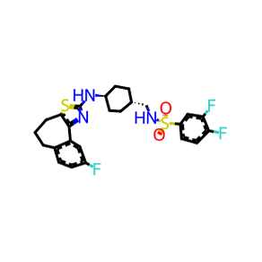 O=S(=O)(NC[C@H]1CC[C@H](Nc2nc3c(s2)CCCc2ccc(F)cc2-3)CC1)c1ccc(F)c(F)c1